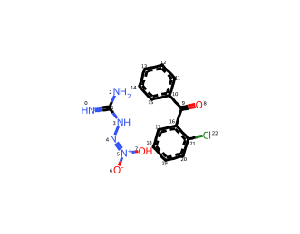 N=C(N)NN=[N+]([O-])O.O=C(c1ccccc1)c1ccccc1Cl